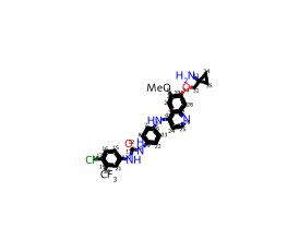 COc1cc2c(Nc3ccc(NC(=O)Nc4ccc(Cl)c(C(F)(F)F)c4)cc3)ccnc2cc1OCC1(N)CC1